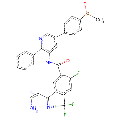 C[S+]([O-])c1ccc(-c2cnc(-c3ccccc3)c(NC(=O)c3cc(C(=N)/C=C\N)c(C(F)(F)F)cc3F)c2)cc1